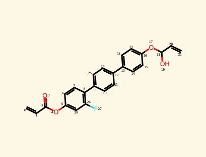 C=CC(=O)Oc1ccc(-c2ccc(-c3ccc(OC(O)C=C)cc3)cc2)c(F)c1